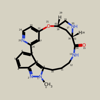 Cn1nc2cccc3c2c1CCCNC(=O)[C@@H]1C[C@@H](CN1)Oc1ccnc-3c1